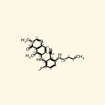 CCCSNc1ccc(F)c(Nc2ccc3ncn(C)c(=O)c3c2C)c1C#N